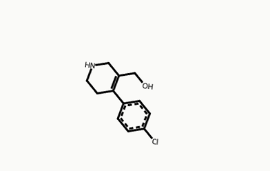 OCC1=C(c2ccc(Cl)cc2)CCNC1